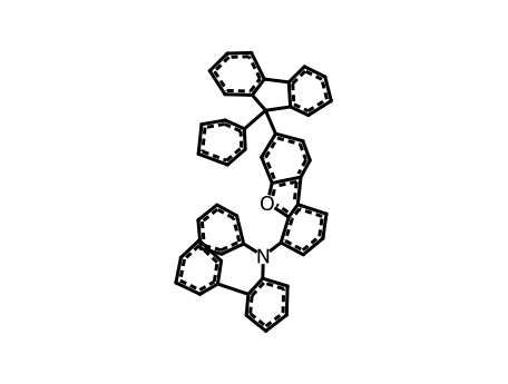 c1ccc(-c2ccccc2N(c2ccccc2)c2cccc3c2oc2cc(C4(c5ccccc5)c5ccccc5-c5ccccc54)ccc23)cc1